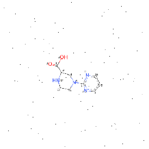 O=C(O)C1CN(c2ncccn2)CCN1